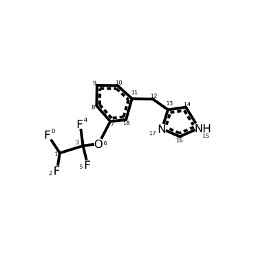 FC(F)C(F)(F)Oc1cccc(Cc2c[nH]cn2)c1